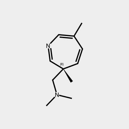 CC1=CN=C[C@@](C)(CN(C)C)C=C1